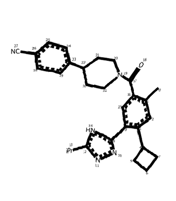 Cc1cc(C2CCC2)c(-c2nnc(C(C)C)[nH]2)cc1C(=O)N1CCC(c2ccc(C#N)cc2)CC1